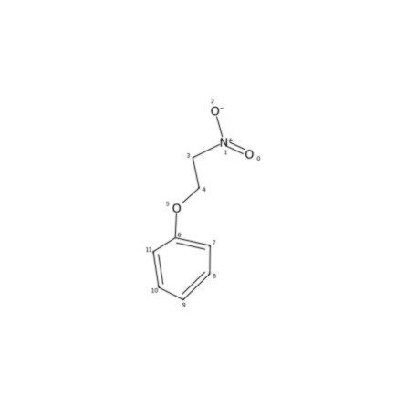 O=[N+]([O-])CCOc1ccccc1